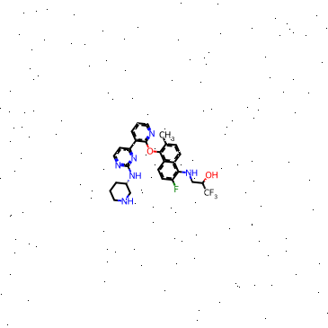 Cc1ccc2c(NCC(O)C(F)(F)F)c(F)ccc2c1Oc1ncccc1-c1ccnc(N[C@H]2CCCNC2)n1